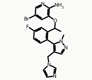 CC(Oc1cc(Br)cnc1N)c1cc(F)ccc1-c1c(Cn2ccnc2)cnn1C